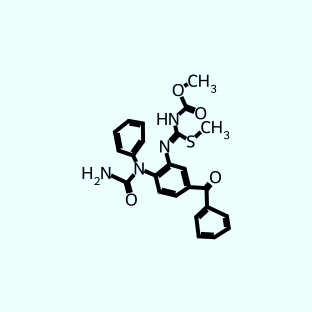 COC(=O)NC(=Nc1cc(C(=O)c2ccccc2)ccc1N(C(N)=O)c1ccccc1)SC